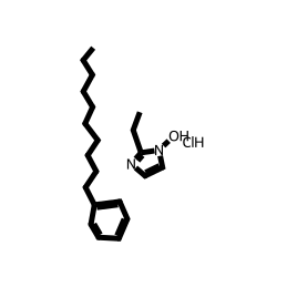 CCCCCCCCCCc1ccccc1.CCc1nccn1O.Cl